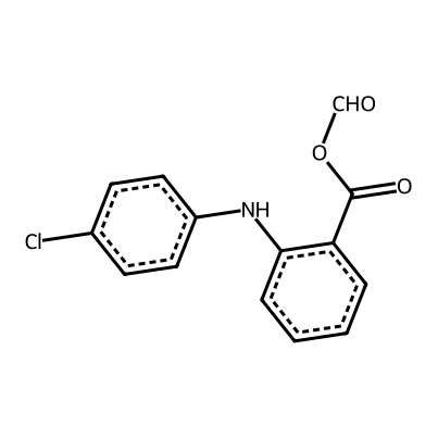 O=COC(=O)c1ccccc1Nc1ccc(Cl)cc1